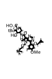 COc1cc(OCC2CC2)c(-c2ncnc3c(C(=O)N[C@@H]4CCN(C(=O)O)C(C(C)(C)C)[C@@H]4O)c(C)n(COCC[Si](C)(C)C)c23)cc1F